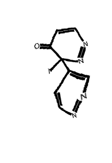 O=C1C=CN=NC1(I)c1ccnnc1